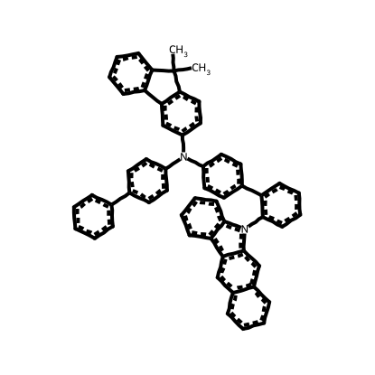 CC1(C)c2ccccc2-c2cc(N(c3ccc(-c4ccccc4)cc3)c3ccc(-c4ccccc4-n4c5ccccc5c5cc6ccccc6cc54)cc3)ccc21